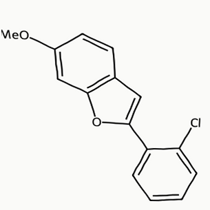 COc1ccc2cc(-c3ccccc3Cl)oc2c1